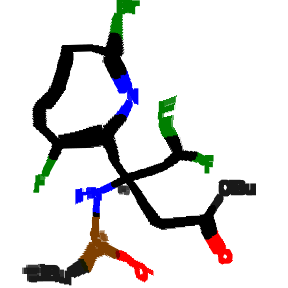 CC(C)COC(=O)C[C@@](N[S+]([O-])C(C)(C)C)(c1nc(Br)ccc1F)C(F)F